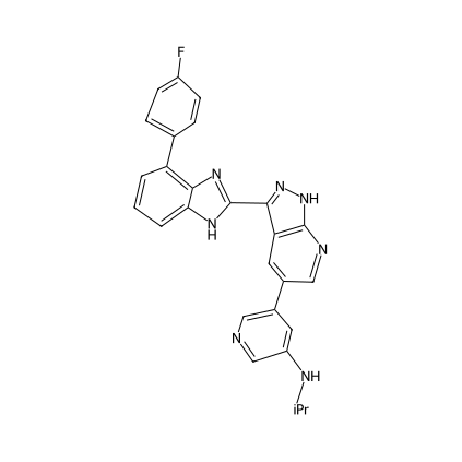 CC(C)Nc1cncc(-c2cnc3[nH]nc(-c4nc5c(-c6ccc(F)cc6)cccc5[nH]4)c3c2)c1